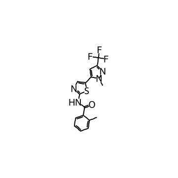 Cc1ccccc1C(=O)Nc1ncc(-c2cc(C(F)(F)F)nn2C)s1